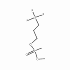 COP(C)(=O)OCCCS(F)(F)F